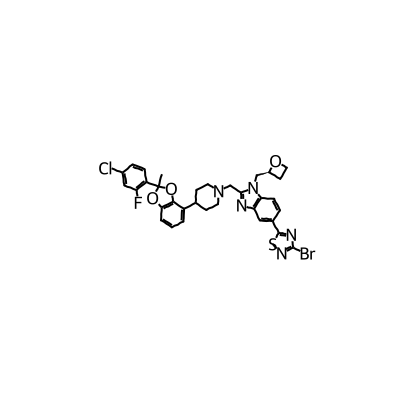 CC1(c2ccc(Cl)cc2F)Oc2cccc(C3CCN(Cc4nc5cc(-c6nc(Br)ns6)ccc5n4C[C@@H]4CCO4)CC3)c2O1